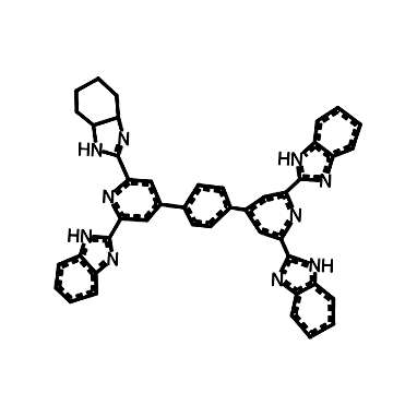 c1ccc2[nH]c(-c3cc(-c4ccc(-c5cc(-c6nc7ccccc7[nH]6)nc(-c6nc7ccccc7[nH]6)c5)cc4)cc(C4=NC5CCCCC5N4)n3)nc2c1